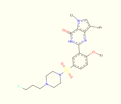 CCCc1cn(CC)c2c(=O)[nH]c(-c3cc(S(=O)(=O)N4CCN(CCCF)CC4)ccc3OCC)nc12